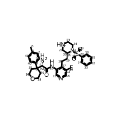 Cc1ccc(C2([C@H](N)C(=O)Nc3cncc(F)c3CC[C@H]3CNCCN3S(=O)(=O)c3ccccc3)CCOCC2)cc1